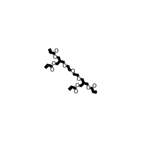 C=CC(=O)OCC(COCCOCCOCC(COC(=O)C=C)COC(=O)C=C)COC(=O)C=C